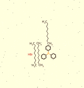 Br.CCCCCCCCCC.CCCCCCCCCC.CCCCCCCCCC.c1ccc(P(c2ccccc2)c2ccccc2)cc1